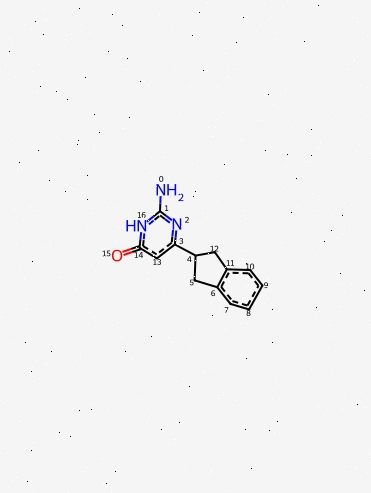 Nc1nc(C2Cc3ccccc3C2)cc(=O)[nH]1